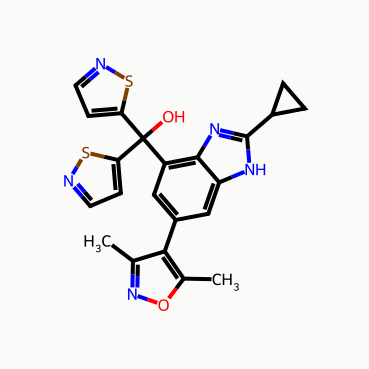 Cc1noc(C)c1-c1cc(C(O)(c2ccns2)c2ccns2)c2nc(C3CC3)[nH]c2c1